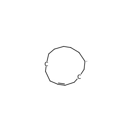 [CH]1CCCC=CCCCCCCCC1